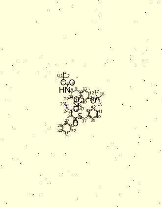 CC(C)(C)OC(=O)NC(Cc1ccc(OC(C)(C)C)cc1)C1C/C=C\C(C(Cc2ccccc2)C(=O)SCc2ccccc2)O[Si](C)(C)O1